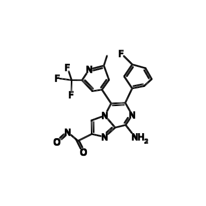 Cc1cc(-c2c(-c3cccc(F)c3)nc(N)c3nc(C(=O)N=O)cn23)cc(C(F)(F)F)n1